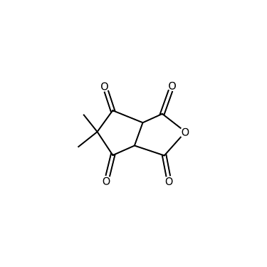 CC1(C)C(=O)C2C(=O)OC(=O)C2C1=O